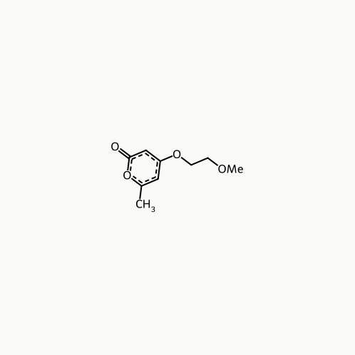 COCCOc1cc(C)oc(=O)c1